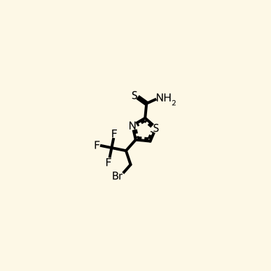 NC(=S)c1nc(C(CBr)C(F)(F)F)cs1